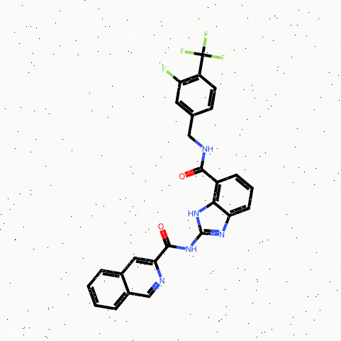 O=C(Nc1nc2cccc(C(=O)NCc3ccc(C(F)(F)F)c(F)c3)c2[nH]1)c1cc2ccccc2cn1